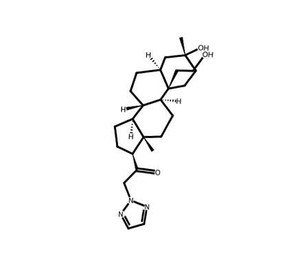 C[C@@]1(O)CC[C@@]2(CCO)[C@@H](CC[C@H]3[C@@H]4CC[C@H](C(=O)Cn5nccn5)[C@@]4(C)CC[C@@H]32)C1